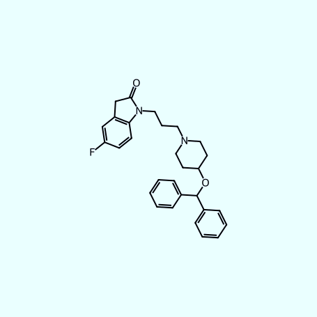 O=C1Cc2cc(F)ccc2N1CCCN1CCC(OC(c2ccccc2)c2ccccc2)CC1